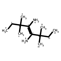 CCC(C)(C)C(N)=C(N)C(C)(C)CC